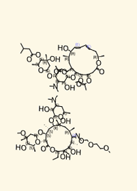 CC[C@H]1OC(=O)[C@H](C)[C@@H](O[C@H]2C[C@@](C)(OC)[C@@H](O)[C@H](C)O2)[C@H](C)[C@@H](O[C@@H]2O[C@H](C)C[C@H](N(C)C)[C@H]2O)[C@](C)(O)C[C@@H](C)/C(=N/OCOCCOC)[C@H](C)[C@@H](O)[C@]1(C)O.CO[C@@H]1[C@@H](O[C@@H]2O[C@H](C)[C@@H](O[C@H]3C[C@@](C)(O)[C@@H](OC(=O)CC(C)C)[C@H](C)O3)[C@H](N(C)C)[C@H]2O)[C@@H](CC=O)C[C@@H](C)[C@@H](O)/C=C/C=C/C[C@@H](C)OC(=O)C[C@H]1OC(C)=O